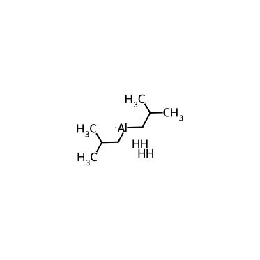 CC(C)[CH2][Al][CH2]C(C)C.[HH].[HH]